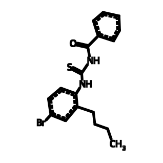 CCCCc1cc(Br)ccc1NC(=S)NC(=O)c1ccccc1